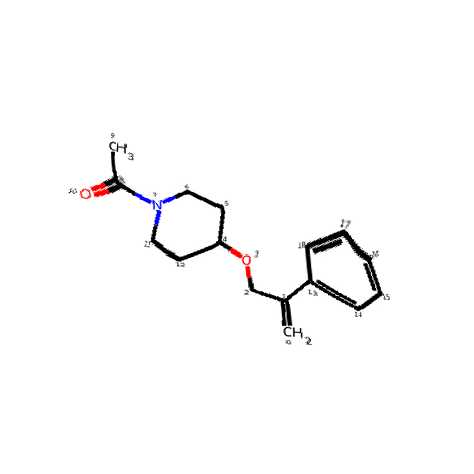 C=C(COC1CCN(C(C)=O)CC1)c1ccccc1